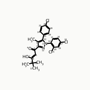 Cc1c(C(=O)/C=C(\O)C(C)(C)C)nn(-c2ccc(Cl)cc2Cl)c1-c1ccc(Cl)cc1